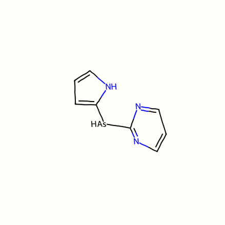 c1cnc([AsH]c2ccc[nH]2)nc1